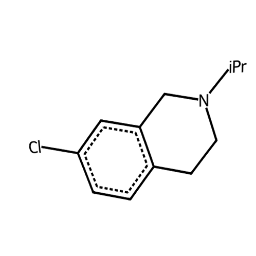 CC(C)N1CCc2ccc(Cl)cc2C1